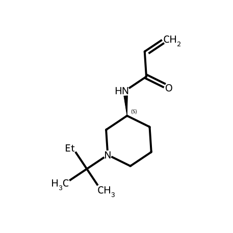 C=CC(=O)N[C@H]1CCCN(C(C)(C)CC)C1